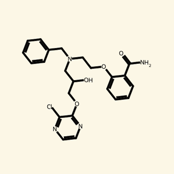 NC(=O)c1ccccc1OCCN(Cc1ccccc1)CC(O)COc1nccnc1Cl